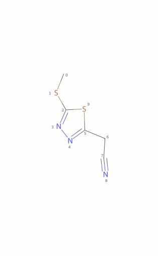 CSc1nnc(CC#N)s1